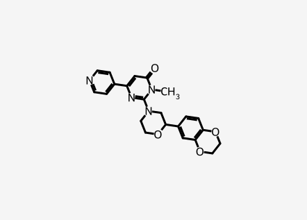 Cn1c(N2CCOC(c3ccc4c(c3)OCCO4)C2)nc(-c2ccncc2)cc1=O